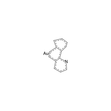 [Au].c1ccc2c(c1)ccc1cccnc12